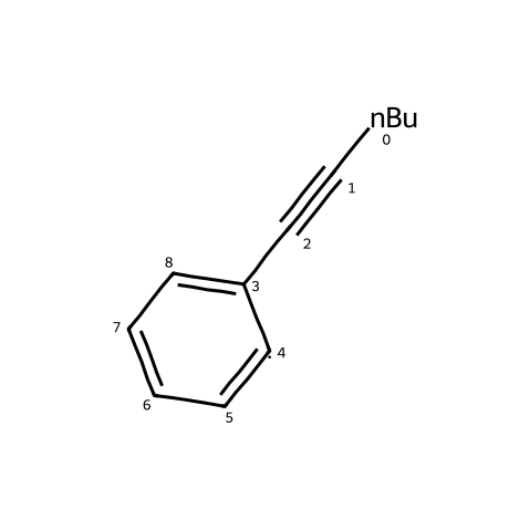 CCCCC#Cc1[c]cccc1